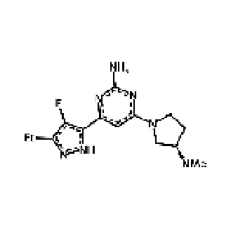 CCc1n[nH]c(-c2cc(N3CC[C@@H](NC)C3)nc(N)n2)c1F